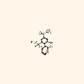 [O-][S+](c1[c]c(Br)c(-c2cccnc2Cl)c(C(F)(C(F)(F)F)C(F)(F)F)c1)C(F)(F)F